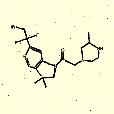 CC(C)CC(F)(F)c1cc2c(cn1)C(C)(C)CN2C(=O)CN1CCNC(C)C1